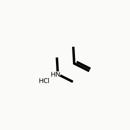 C=CC.CNC.Cl